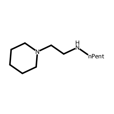 CCCCCNCCN1CCCCC1